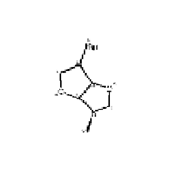 C[C@@H]1COC2C1OCC2C(C)(C)C